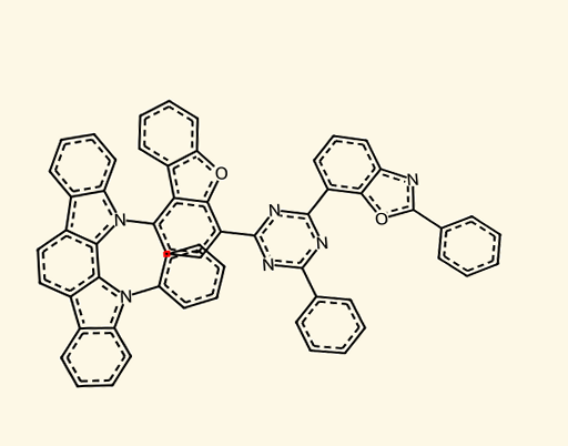 c1ccc(-c2nc(-c3cccc4nc(-c5ccccc5)oc34)nc(-c3ccc(-n4c5ccccc5c5ccc6c7ccccc7n(-c7ccccc7)c6c54)c4c3oc3ccccc34)n2)cc1